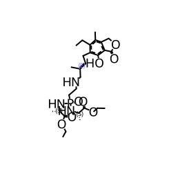 CCOC(=O)[C@H](C)NP(=O)(CCNC/C(C)=C/Cc1c(O)c2c(c(C)c1CC)COC2=O)N[C@@H](C)C(=O)OCC